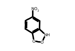 O=[N+]([O-])c1ccc2c(c1)NOO2